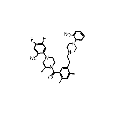 Cc1cc(C)c(C(=O)N2CCN(c3cc(F)c(F)cc3C#N)C[C@@H]2C)cc1CCN1CCN(c2ccccc2C#N)CC1